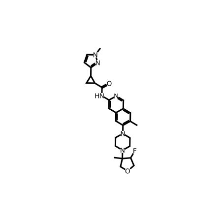 Cc1cc2cnc(NC(=O)C3CC3c3ccn(C)n3)cc2cc1N1CCN(C2(C)COCC2F)CC1